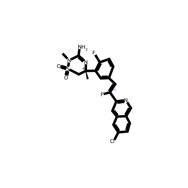 CN1C(N)=N[C@](C)(c2cc(/C=C(\F)c3cc4cc(Cl)ccc4cn3)ccc2F)CS1(=O)=O